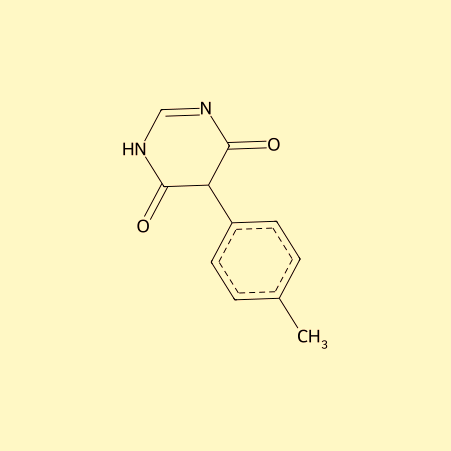 Cc1ccc(C2C(=O)N=CNC2=O)cc1